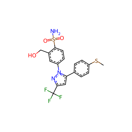 CSc1ccc(-c2cc(C(F)(F)F)nn2-c2ccc(S(N)(=O)=O)c(CO)c2)cc1